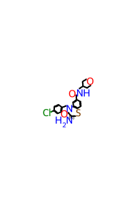 N[C@H]1CSc2ccc(C(=O)NCC3CCOCC3)cc2N(Cc2ccc(Cl)cc2)C1=O